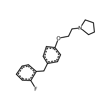 Fc1ccccc1Cc1ccc(OCCN2CCCC2)cc1